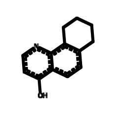 Oc1ccnc2c3c(ccc12)CCCC3